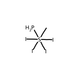 CS(P)(I)(I)(I)I